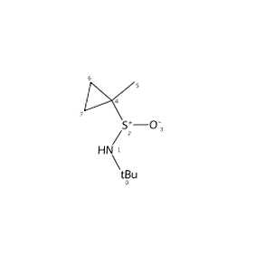 CC(C)(C)N[S+]([O-])C1(C)CC1